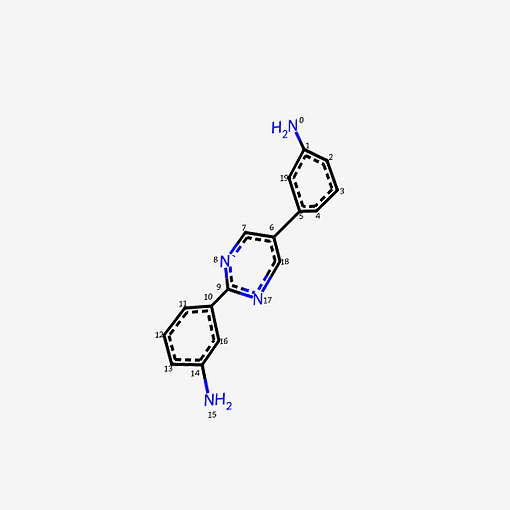 Nc1cccc(-c2cnc(-c3cccc(N)c3)nc2)c1